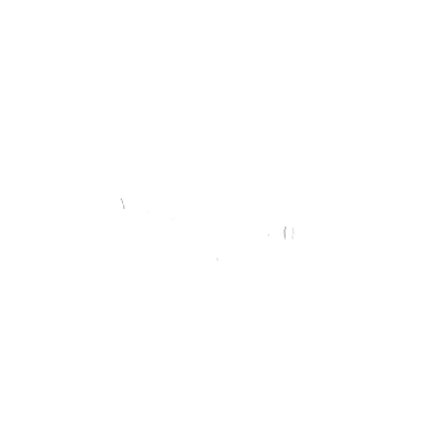 Oc1cccc2c1C/C(=C/c1ccc(F)cc1)C2